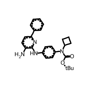 CC(C)(C)OC(=O)N(c1ccc(Nc2nc(-c3ccccc3)ccc2N)cc1)C1CCC1